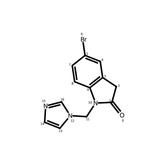 O=C1Cc2cc(Br)ccc2N1Cn1ccnc1